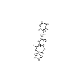 CC1CC2(CCCN1CC(=O)OCc1ccccc1)OCCO2